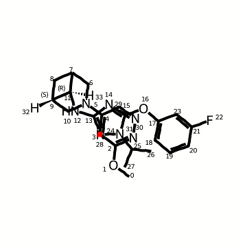 COc1cc(N2CC3C[C@@H](C2)[C@@H]3Nc2nc(Oc3cccc(F)c3)n(C(C)C)n2)cnn1